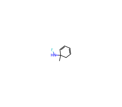 CC1(NF)C=CC=CC1